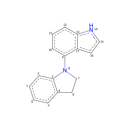 [c]1ccc2c(c1)CCN2c1cccc2[nH]ccc12